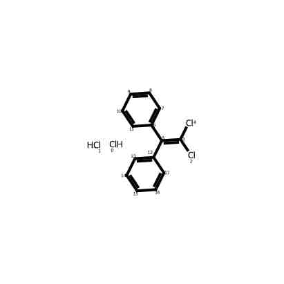 Cl.Cl.ClC(Cl)=C(c1ccccc1)c1ccccc1